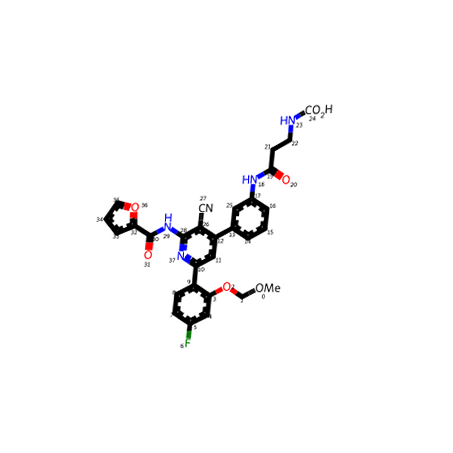 COCOc1cc(F)ccc1-c1cc(-c2cccc(NC(=O)CCNC(=O)O)c2)c(C#N)c(NC(=O)c2ccco2)n1